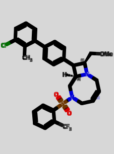 COC[C@@H]1C(c2ccc(-c3cccc(Cl)c3C)cc2)[C@@H]2CN(S(=O)(=O)c3ccccc3C(F)(F)F)C/C=C\CN12